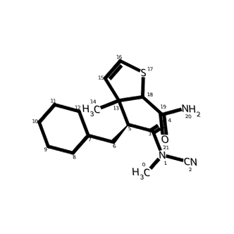 CN(C#N)C(=O)[C@@H](CC1CCCCC1)C1(C)C=CSC1C(N)=O